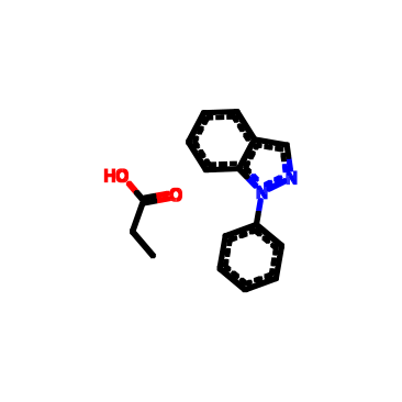 CCC(=O)O.c1ccc(-n2ncc3ccccc32)cc1